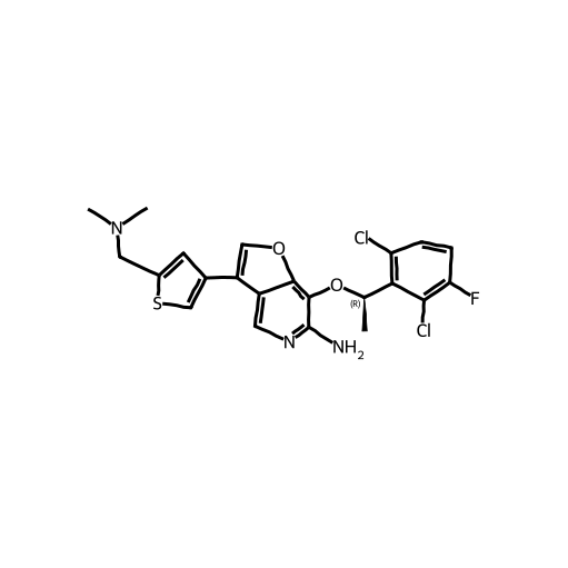 C[C@@H](Oc1c(N)ncc2c(-c3csc(CN(C)C)c3)coc12)c1c(Cl)ccc(F)c1Cl